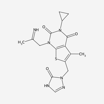 CC(=N)Cn1c(=O)n(C2CC2)c(=O)c2c(C)c(Cn3nc[nH]c3=O)sc21